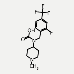 CN1CCC(N(Cc2ccc(C(F)(F)F)cc2F)C(=O)O)CC1